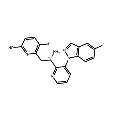 N#Cc1ccc(F)c(C[C@H](N)c2ncccc2-n2ncc3cc(F)ccc32)n1